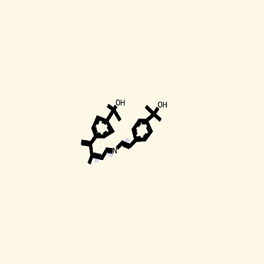 C=C(\C(C)=C/C=N/C=C/c1ccc(C(C)(C)O)cc1)c1ccc(C(C)(C)O)cc1